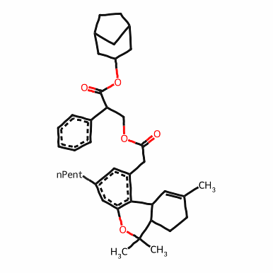 CCCCCc1cc(CC(=O)OCC(C(=O)OC2CC3CCC(C3)C2)c2ccccc2)c2c(c1)OC(C)(C)C1CCC(C)=CC21